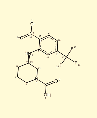 O=C(O)N1CCC[C@@H](Nc2cc(C(F)(F)F)ccc2[N+](=O)[O-])C1